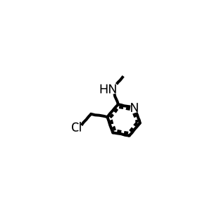 CNc1ncccc1CCl